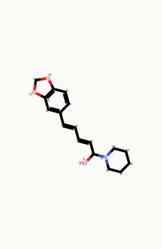 OC(/C=C/C=C/c1ccc2c(c1)OCO2)N1CCCCC1